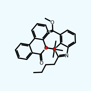 CCCCc1nc2cccc(C(=O)OC)c2n1Cc1ccccc1-c1ccccc1C(=O)OC(C)(C)C